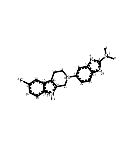 CN(C)c1nc2cc(N3CCc4c([nH]c5ccc(F)cc45)C3)ccc2s1